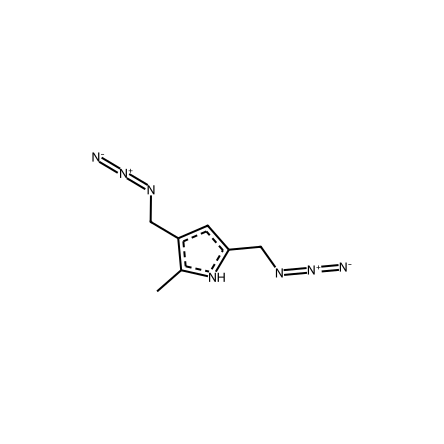 Cc1[nH]c(CN=[N+]=[N-])cc1CN=[N+]=[N-]